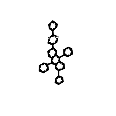 c1ccc(-c2ccc3c(-c4ccccc4)c4cc(-c5cnc(-c6ccccc6)nc5)ccc4c(-c4ccccc4)c3c2)cc1